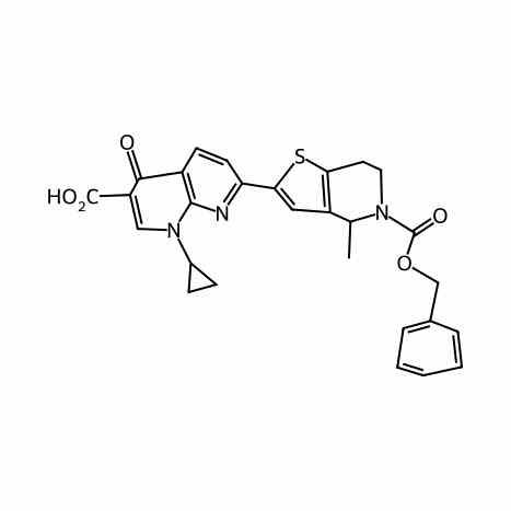 CC1c2cc(-c3ccc4c(=O)c(C(=O)O)cn(C5CC5)c4n3)sc2CCN1C(=O)OCc1ccccc1